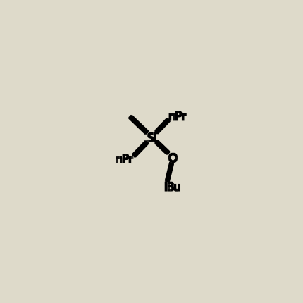 CCC[Si](C)(CCC)OC(C)CC